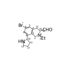 CCN1Cc2c(cc(Br)cc2C2CCCN2)C[C@H]1C=O